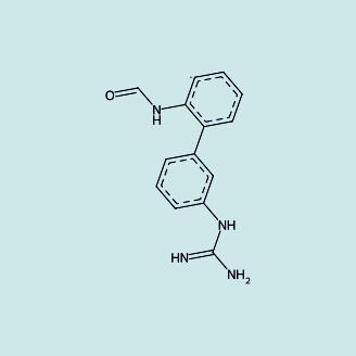 N=C(N)Nc1cccc(-c2ccc[c]c2NC=O)c1